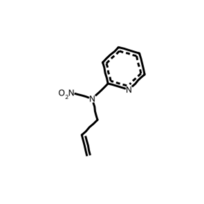 C=CCN(c1ccccn1)[N+](=O)[O-]